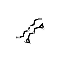 C(OCC1CO1)C1CO1.OCCOOCCO